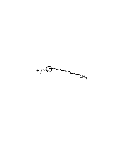 [CH2]C12CCC(CCCCCCCCCCCC)(CC1)CC2